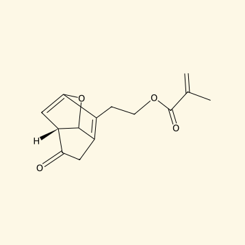 C=C(C)C(=O)OCCC1=C2CC(=O)[C@@H]3C=C1OC23